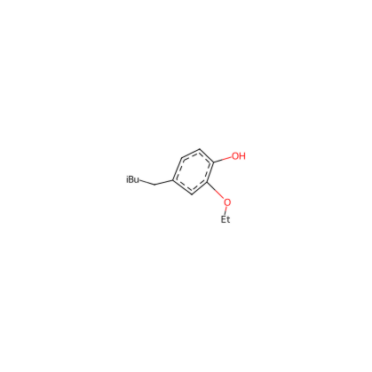 CCOc1cc(CC(C)CC)ccc1O